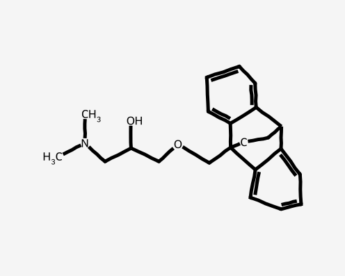 CN(C)CC(O)COCC12CCC(c3ccccc31)c1ccccc12